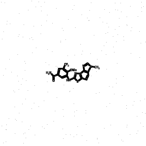 COc1c(Nc2nc3c(ccc4c3ncn4C)s2)cc(C(N)=O)cc1C(F)(F)F